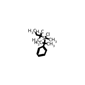 CCC(C)(C)[Si](C)(Cl)C(C)(C)c1ccccc1